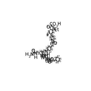 CCn1cc(C(=O)O)c(=O)c2cc(F)c(N3CCN(C(=O)OCc4ccc(NC[C@@H](CCCNC(N)=O)n5cc([C@@H](NC(=O)OCc6ccccc6)C(C)(C)C)nn5)cc4)CC3)cc21